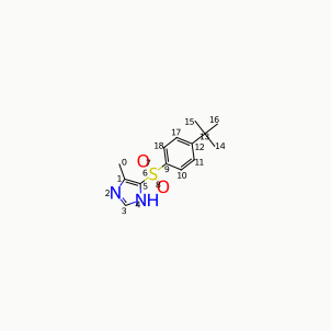 Cc1nc[nH]c1S(=O)(=O)c1ccc(C(C)(C)C)cc1